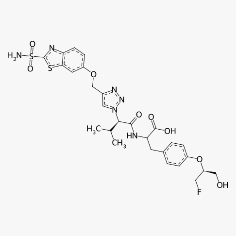 CC(C)[C@H](C(=O)NC(Cc1ccc(O[C@@H](CO)CF)cc1)C(=O)O)n1cc(COc2ccc3nc(S(N)(=O)=O)sc3c2)nn1